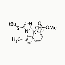 COC(=O)C1=CC=CC23CC=CC(C)=C2n2c(SC(C)(C)C)cnc2[N+]13C